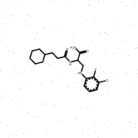 NC(=O)C(CNc1cccc(Cl)c1F)NC(=O)[CH]CC1CCCCC1